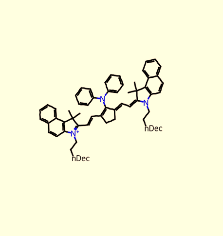 CCCCCCCCCCCCN1/C(=C/C=C2\CCC(/C=C/C3=[N+](CCCCCCCCCCCC)c4ccc5ccccc5c4C3(C)C)=C2N(c2ccccc2)c2ccccc2)C(C)(C)c2c1ccc1ccccc21